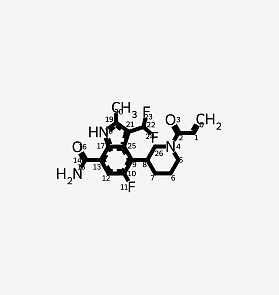 C=CC(=O)N1CCCC(c2c(F)cc(C(N)=O)c3[nH]c(C)c(C(F)F)c23)C1